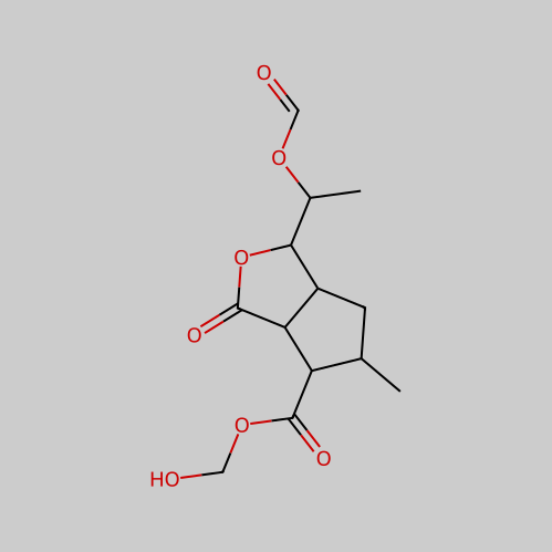 CC1CC2C(C(C)OC=O)OC(=O)C2C1C(=O)OCO